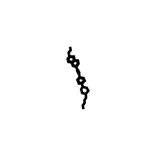 CCCCCC1CCC(c2ccc(C#Cc3ccc4cc(CCC)ccc4c3)cc2)CC1